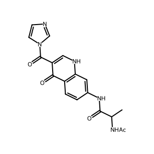 CC(=O)NC(C)C(=O)Nc1ccc2c(=O)c(C(=O)n3ccnc3)c[nH]c2c1